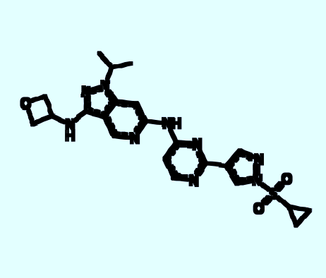 CC(C)n1nc(NC2COC2)c2cnc(Nc3ccnc(-c4cnn(S(=O)(=O)C5CC5)c4)n3)cc21